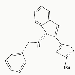 CC(C)(C)C1=CCC(C2=[C]c3ccccc3C2=[SiH]Cc2ccccc2)=C1